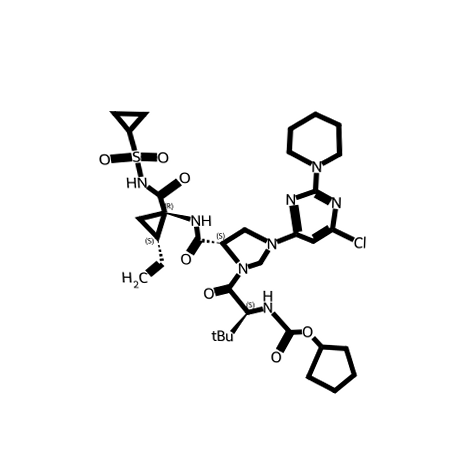 C=C[C@@H]1C[C@]1(NC(=O)[C@@H]1CN(c2cc(Cl)nc(N3CCCCC3)n2)CN1C(=O)[C@@H](NC(=O)OC1CCCC1)C(C)(C)C)C(=O)NS(=O)(=O)C1CC1